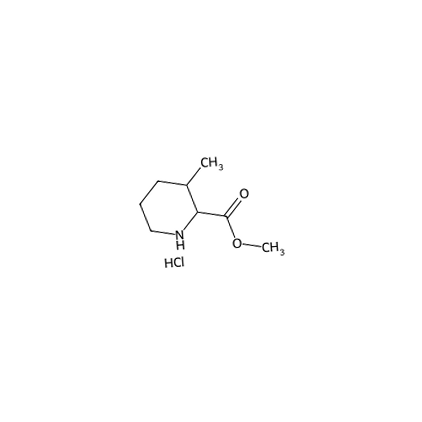 COC(=O)C1NCCCC1C.Cl